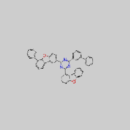 c1ccc(-c2cccc(-c3nc(-c4ccc5oc6c(-c7ccccc7)cccc6c5c4)nc(-c4cccc5oc6ccccc6c45)n3)c2)cc1